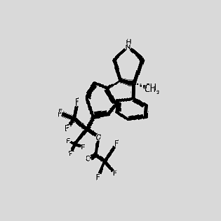 C[C@@]1(c2ccccc2)CNC[C@@H]1c1ccc(C(OC(=O)C(F)(F)F)(C(F)(F)F)C(F)(F)F)cc1